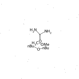 CCCCOCCCC.COC.NC(N)=O